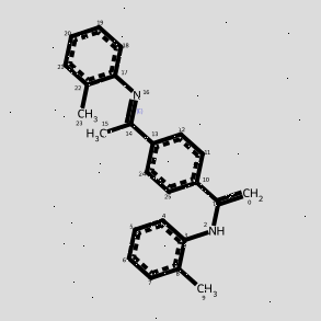 C=C(Nc1ccccc1C)c1ccc(/C(C)=N/c2ccccc2C)cc1